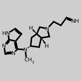 CN(c1ncnc2[nH]ccc12)[C@@H]1C[C@@H]2CN(CCC=N)C[C@@H]2C1